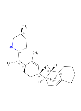 CC1=C2C[C@H]3[C@@H](CC=C4CCCC[C@@]43C)[C@@H]2CC[C@H]1[C@H](C)[C@H]1CC[C@H](C)CN1